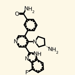 NC(=O)c1cccc(-c2cncc(-c3nc4c(F)cccc4[nH]3)c2N2CC[C@H](N)C2)c1